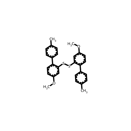 COc1ccc(-c2ccc(C)cc2)c(SSc2cc(OC)ccc2-c2ccc(C)cc2)c1